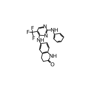 O=C1CCc2cc(Nc3nc(Nc4ccccc4)ncc3C(F)(F)F)ccc2N1